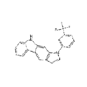 FC(F)(F)c1cccc(-n2ccc3cc4c(cc32)[nH]c2ccccc24)c1